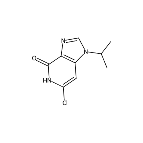 CC(C)n1cnc2c(=O)[nH]c(Cl)cc21